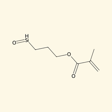 C=C(C)C(=O)OCCC[SiH]=O